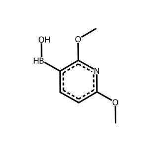 COc1ccc(BO)c(OC)n1